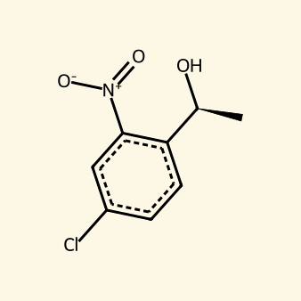 C[C@H](O)c1ccc(Cl)cc1[N+](=O)[O-]